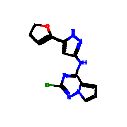 Clc1nc(Nc2cc(C3=CCCO3)[nH]n2)c2cccn2n1